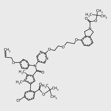 C=CCOc1ccc(N(C(=O)c2cc(-c3cc(Cl)ccc3C(=O)OC(C)(C)C)n(C)c2C)c2cnc(OCCOCCOc3cccc4c3CN(C(=O)OC(C)(C)C)C4)nc2)cc1